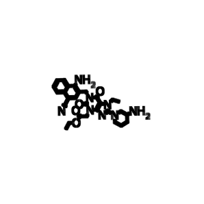 CCOC(=O)Cn1c(=O)n(Cc2cc(C#N)c3ccccc3c2N)c(=O)c2c1nc(N1CCCC(N)C1)n2CC